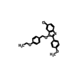 CCOc1ccc(COn2c(-c3ccc(OC)cc3)nc3ccc(Cl)cc32)cc1